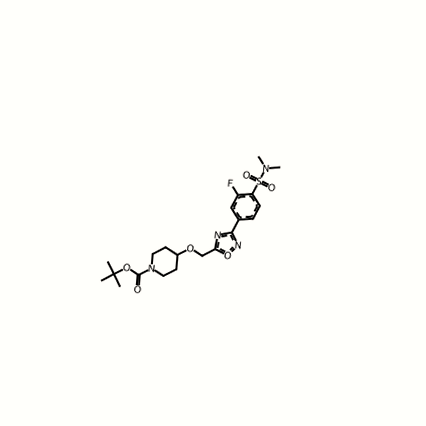 CN(C)S(=O)(=O)c1ccc(-c2noc(COC3CCN(C(=O)OC(C)(C)C)CC3)n2)cc1F